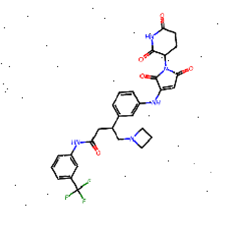 O=C1CCC(N2C(=O)C=C(Nc3cccc(C(CC(=O)Nc4cccc(C(F)(F)F)c4)CN4CCC4)c3)C2=O)C(=O)N1